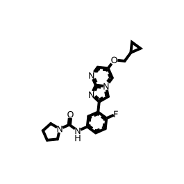 O=C(Nc1ccc(F)c(-c2cn3cc(OCC4CC4)cnc3n2)c1)N1CCCC1